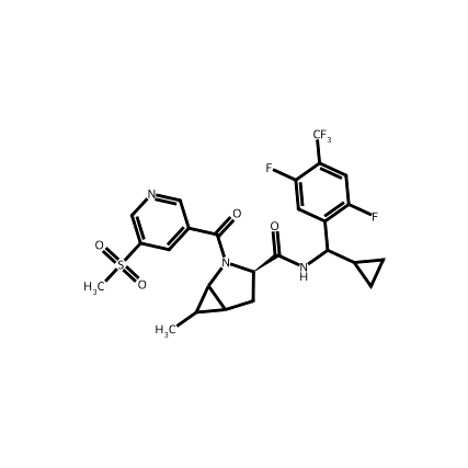 CC1C2C[C@H](C(=O)NC(c3cc(F)c(C(F)(F)F)cc3F)C3CC3)N(C(=O)c3cncc(S(C)(=O)=O)c3)C12